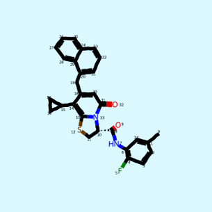 Cc1ccc(F)c(NC(=O)[C@@H]2CSc3c(C4CC4)c(Cc4cccc5ccccc45)cc(=O)n32)c1